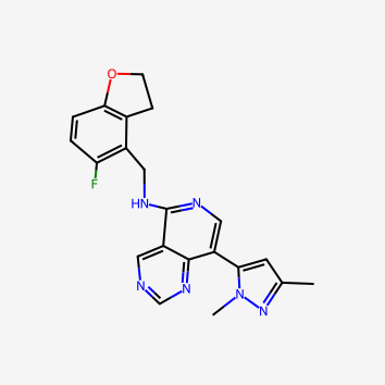 Cc1cc(-c2cnc(NCc3c(F)ccc4c3CCO4)c3cncnc23)n(C)n1